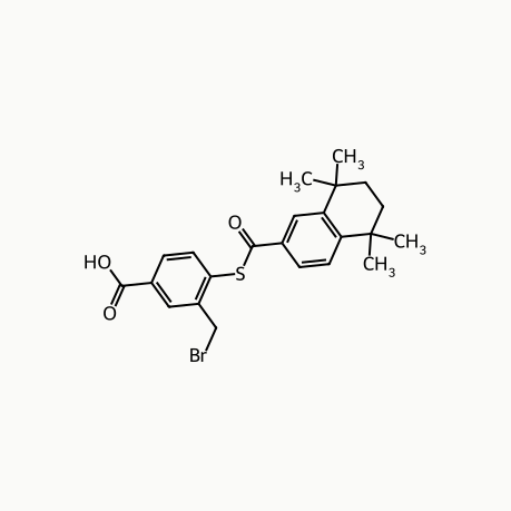 CC1(C)CCC(C)(C)c2cc(C(=O)Sc3ccc(C(=O)O)cc3CBr)ccc21